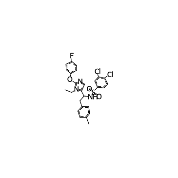 CCn1c(C(Cc2ccc(C)cc2)NS(=O)(=O)c2ccc(Cl)c(Cl)c2)cnc1Oc1ccc(F)cc1